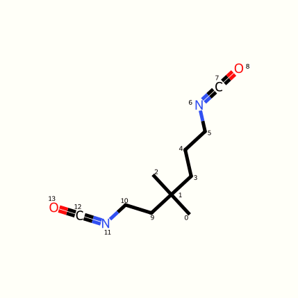 CC(C)(CCCN=C=O)CCN=C=O